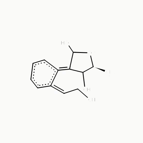 CC/C=c1/cccc/c1=C1\C(O)O[C@@H](C)C1C